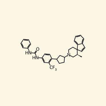 C[C@H]1CN(C2CCC(c3ccc(NC(=O)Nc4ccccc4)cc3C(F)(F)F)C2)CCC12C=Cc1ccccc12